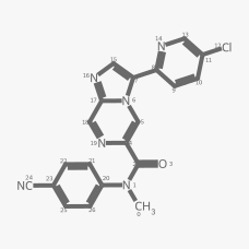 CN(C(=O)c1cn2c(-c3ccc(Cl)cn3)cnc2cn1)c1ccc(C#N)cc1